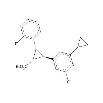 CCOC(=O)[C@H]1[C@H](c2cc(Cl)nc(C3CC3)c2)[C@H]1c1ccccc1F